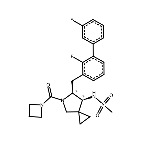 CS(=O)(=O)N[C@@H]1[C@H](Cc2cccc(-c3cccc(F)c3)c2F)N(C(=O)N2CCC2)CC12CC2